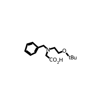 CC(C)(C)OCCN(CC(=O)O)Cc1ccccc1